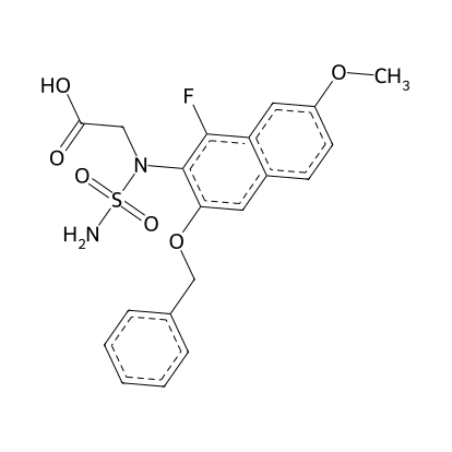 COc1ccc2cc(OCc3ccccc3)c(N(CC(=O)O)S(N)(=O)=O)c(F)c2c1